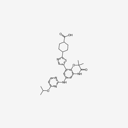 CC(C)Oc1ccnc(Nc2cc3c(c(-c4cnc(C5CCC(C(=O)O)CC5)s4)c2)OC(C)(C)C(=O)N3)n1